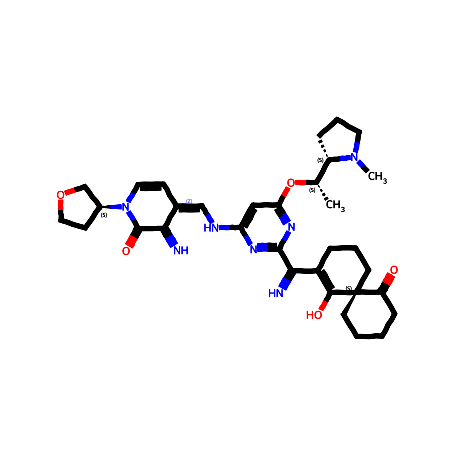 C[C@H](Oc1cc(N/C=C2/C=CN([C@H]3CCOC3)C(=O)C2=N)nc(C(=N)C2=C(O)[C@]3(CCCCC3=O)CCC2)n1)[C@@H]1CCCN1C